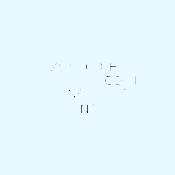 [N-2]C(=O)O.[N-2]C(=O)O.[Zr+4]